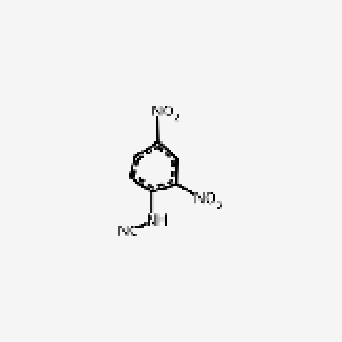 N#CNc1ccc([N+](=O)[O-])cc1[N+](=O)[O-]